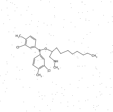 CCCCCCCCC(CNC)OB(c1ccc(C)c(Cl)c1)c1ccc(C)c(Cl)c1